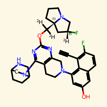 [2H]C([2H])(Oc1nc2c(c(N3CC4CCC3CN4)n1)CCN(c1cc(O)cc3ccc(F)c(C#C)c13)C2)[C@@]12CCCN1C[C@]([2H])(F)C2